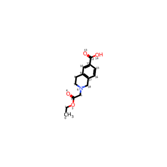 CCOC(=O)CN1CCc2cc(C(=O)O)ccc2C1